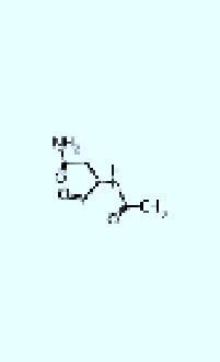 CC(=O)N[C@@H]([C]=O)CC(N)=O